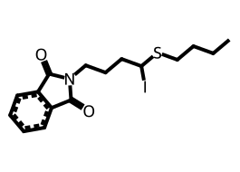 CCCCSC(I)CCCN1C(=O)c2ccccc2C1=O